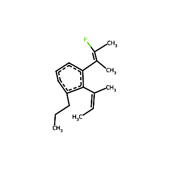 C/C=C(/C)c1c(CCC)cccc1/C(C)=C(/C)F